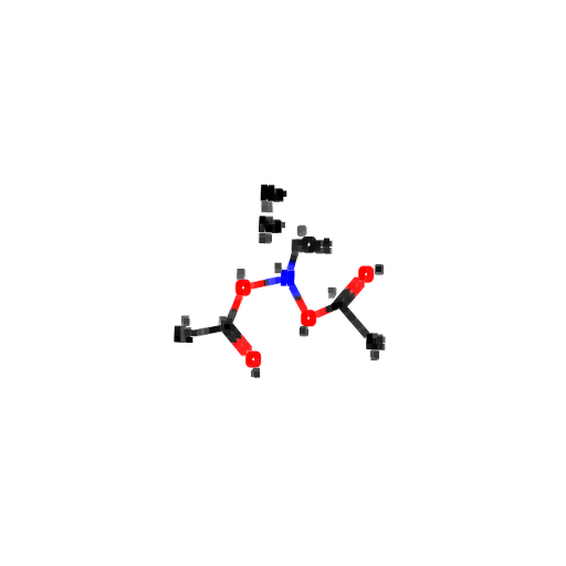 CCCCCCCCN(OC(=O)CC)OC(=O)CC.[Na].[Na]